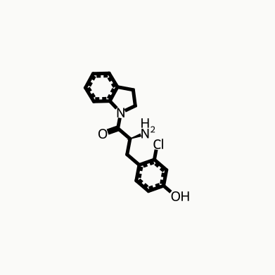 N[C@@H](Cc1ccc(O)cc1Cl)C(=O)N1CCc2ccccc21